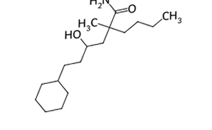 CCCCC(C)(CC(O)CCC1CCCCC1)C(N)=O